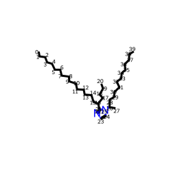 CCCCCCCCCCCCCCCCC(CCCC)c1nccn1C(C)CCCCCCCCCCCC